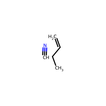 C#N.C=CCC